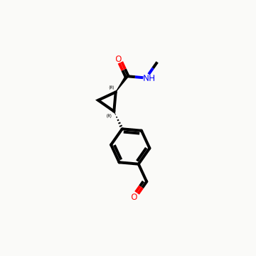 CNC(=O)[C@@H]1C[C@H]1c1ccc(C=O)cc1